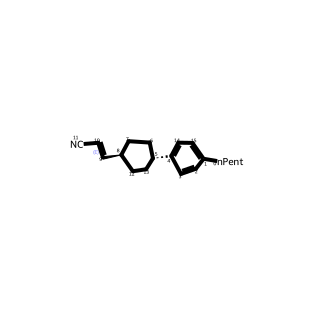 CCCCCc1ccc([C@H]2CC[C@H](/C=C/C#N)CC2)cc1